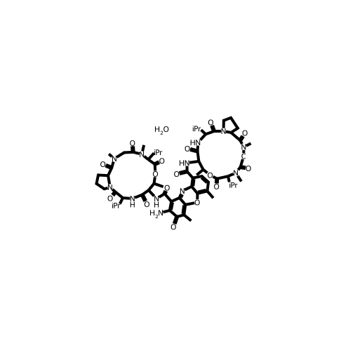 Cc1c2oc3c(C)ccc(C(=O)NC4C(=O)NC(C(C)C)C(=O)N5CCCC5C(=O)N(C)CC(=O)N(C)C(C(C)C)C(=O)OC4C)c3nc-2c(C(=O)NC2C(=O)NC(C(C)C)C(=O)N3CCCC3C(=O)N(C)CC(=O)N(C)C(C(C)C)C(=O)OC2C)c(N)c1=O.O